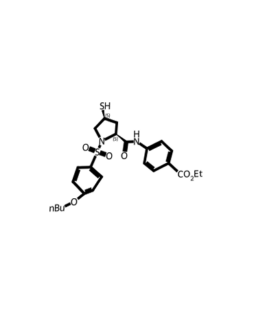 CCCCOc1ccc(S(=O)(=O)N2C[C@@H](S)C[C@H]2C(=O)Nc2ccc(C(=O)OCC)cc2)cc1